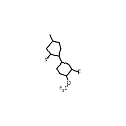 CC1CCC(C2CCC(OC(F)(F)F)C(F)C2)C(F)C1